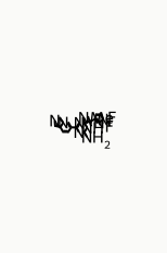 CNC1(C(C)(C)c2ccn(C(F)F)n2)N=C(c2ccc3cncn3c2)N=C(N)N1